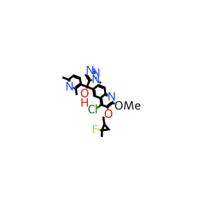 COc1nc2ccc(C(O)(c3ccc(C)nc3C)c3cnnn3C)cc2c(Cl)c1OCC1CC1(C)F